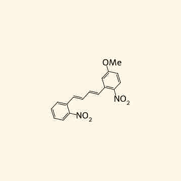 COc1ccc([N+](=O)[O-])c(/C=C/C=C/c2ccccc2[N+](=O)[O-])c1